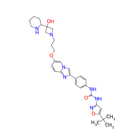 CC(C)(C)c1cc(NC(=O)Nc2ccc(-c3cn4cc(OCCCN5CC(O)(C6CCCCN6)C5)ccc4n3)cc2)no1